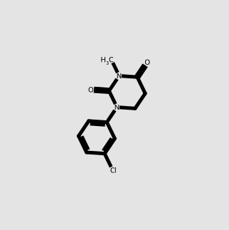 CN1C(=O)CCN(c2cccc(Cl)c2)C1=O